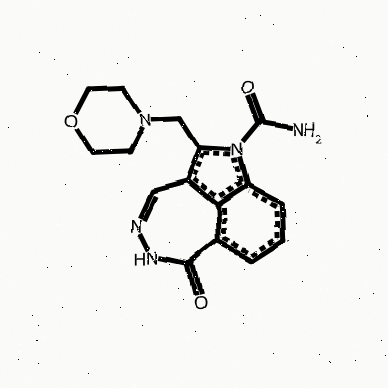 NC(=O)n1c(CN2CCOCC2)c2c3c(c[c]cc31)C(=O)NN=C2